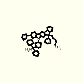 C=C/C=C\C=C\C1(c2ccccc2)c2ccccc2-c2cc3c4ccc(-c5ccccc5)cc4n(-c4cccc(C(N)(c5ccccc5)c5ccccc5)c4)c3cc21